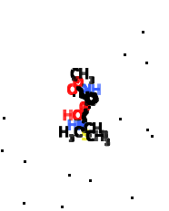 CCOC(=O)c1cc2c(OCC(O)CNC(C)(C)SC)cccc2[nH]1